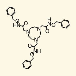 O=C(CN1CCN(CC(=O)NOCc2ccccc2)CCN(CC(=O)NOCc2ccccc2)CC1)NOCc1ccccc1